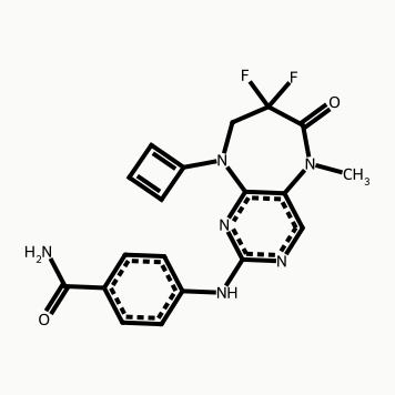 CN1C(=O)C(F)(F)CN(C2=CC=C2)c2nc(Nc3ccc(C(N)=O)cc3)ncc21